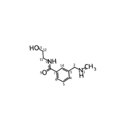 CNCc1cccc(C(=O)NCCO)c1